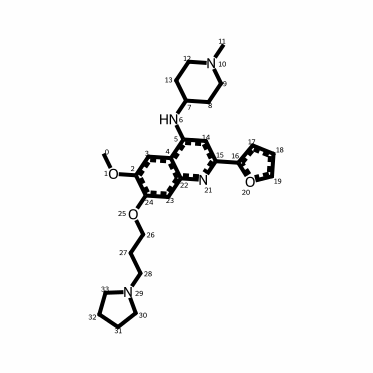 COc1cc2c(NC3CCN(C)CC3)cc(-c3ccco3)nc2cc1OCCCN1CCCC1